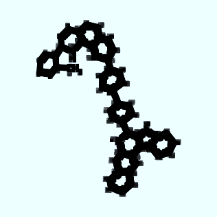 CC1C=CC=CC1C1C=Cc2ccc3ccc(-c4ccc(-c5ccc(-c6nc7cc8ccccc8cc7c7c6sc6ccccc67)cc5)cc4)nc3c2N1